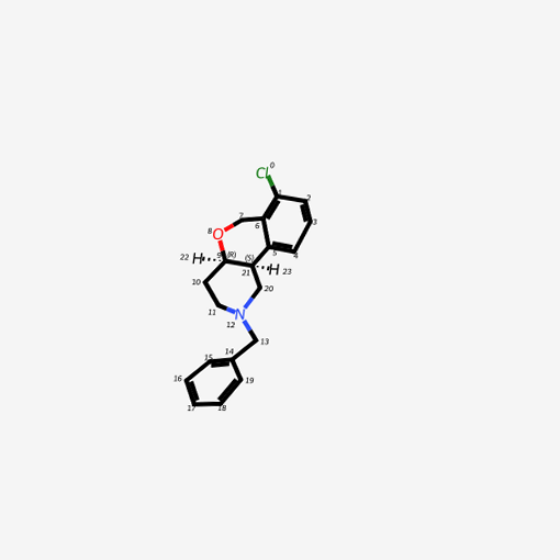 Clc1cccc2c1CO[C@@H]1CCN(Cc3ccccc3)C[C@H]21